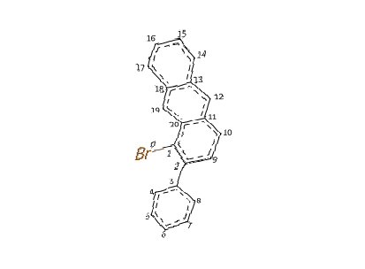 Brc1c(-c2ccccc2)ccc2cc3ccccc3cc12